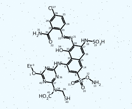 CCOc1nc(Nc2cc(S(=O)(=O)ON)cc3cc(NS(=O)(=O)O)c(N=Nc4ccc(Cl)cc4C(N)=O)c(O)c23)nc(N(CS)C(=O)O)n1